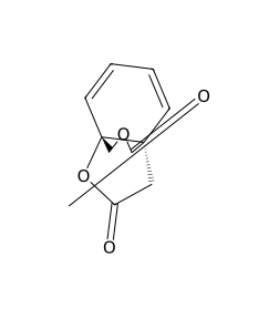 O=C1C[C@@]23C=CC=C[C@@]2(COC3=O)O1